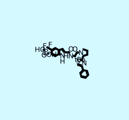 CC(C)(C)C(NC(=O)c1cc2cc(C(F)(F)P(=O)(O)O)ccc2[nH]1)C(=O)N1CCCC1c1nc(-c2ccccc2)cs1